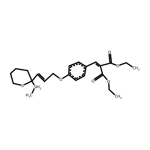 CCOC(=O)C(=Cc1ccc(OCC=CC2([SiH2]C)CCCCO2)cc1)C(=O)OCC